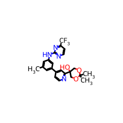 Cc1cc(Nc2nccc(C(F)(F)F)n2)cc(-c2ccnc(C3(O)COC(C)(C)OC3)c2)c1